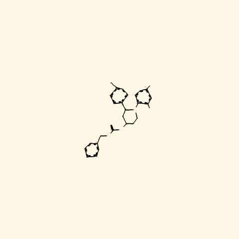 O=C(NCc1ccccc1)NC1CCN(c2ccc(Cl)cc2Cl)C(c2ccc(Cl)cc2)C1